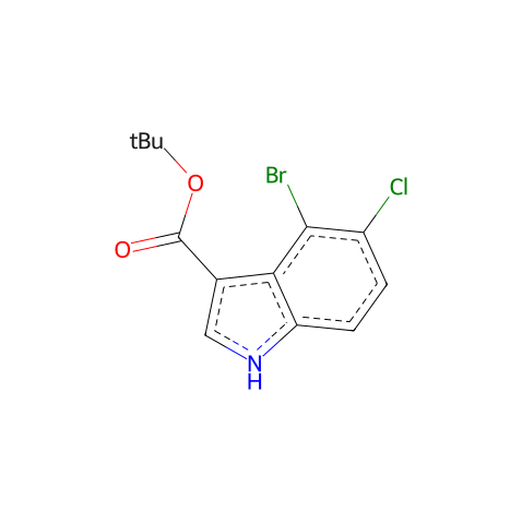 CC(C)(C)OC(=O)c1c[nH]c2ccc(Cl)c(Br)c12